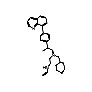 C=CNCCN(CC1CCCCC1)CC(C)c1ccc(-c2cccc3cccnc23)cc1